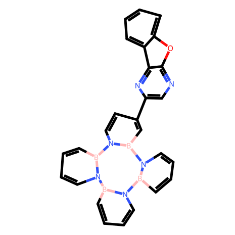 C1=CB2N(C=C1)B1C=CC=CN1B1C=C(c3cnc4oc5ccccc5c4n3)C=CN1B1C=CC=CN21